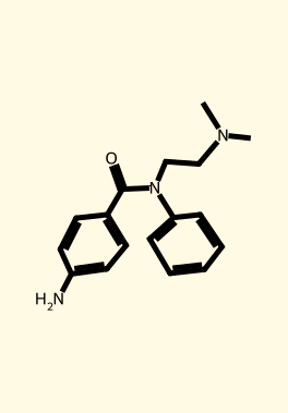 CN(C)CCN(C(=O)c1ccc(N)cc1)c1ccccc1